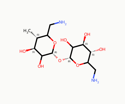 C[C@@H]1C(CN)O[C@H](O[C@H]2OC(CN)[C@@H](O)[C@H](O)C2O)C(O)[C@H]1O